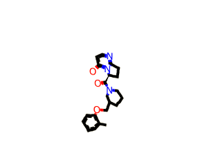 Cc1ccccc1OCC1CCCN(C(=O)[C@@H]2CCc3nccc(=O)n32)C1